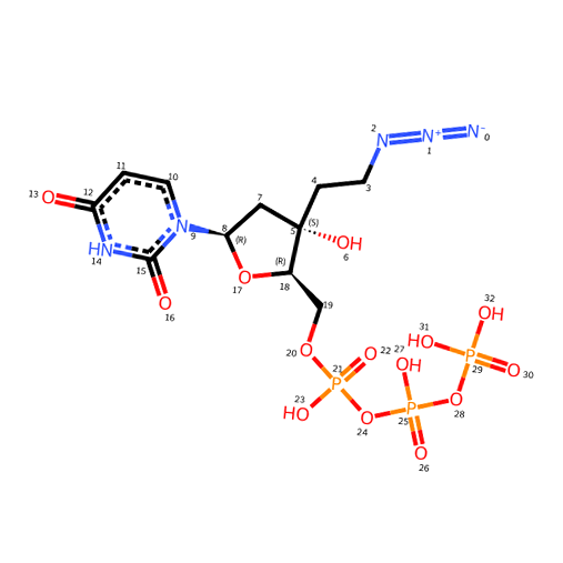 [N-]=[N+]=NCC[C@]1(O)C[C@H](n2ccc(=O)[nH]c2=O)O[C@@H]1COP(=O)(O)OP(=O)(O)OP(=O)(O)O